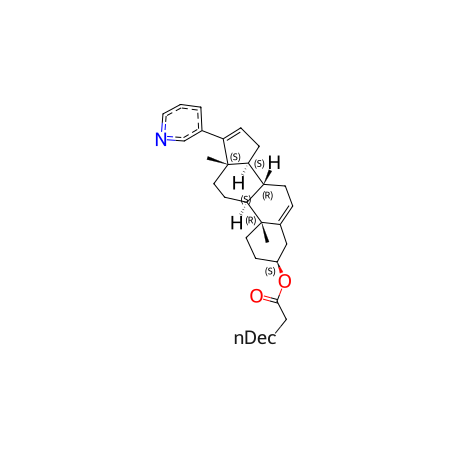 CCCCCCCCCCCC(=O)O[C@H]1CC[C@@]2(C)C(=CC[C@@H]3[C@@H]2CC[C@]2(C)C(c4cccnc4)=CC[C@@H]32)C1